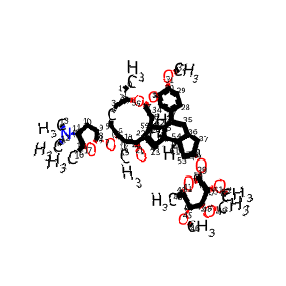 CC[C@H]1CCC[C@H](O[C@H]2CC[C@H](N(C)C)C(C)O2)[C@@H](C)C(=O)C2=C[C@@H]3C(C(c4ccc(OC)cc4)=CC4C[C@@H](O[C@@H]5OC(C)[C@H](OC)C(OC)C5OC)C[C@H]43)[C@@H]2CC(=O)O1